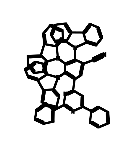 N#Cc1cc(-c2cc(-c3ccccc3)nc(-c3ccccc3)n2)c(-n2c3ccccc3c3ccccc32)c(-n2c3ccccc3c3ccccc32)c1-n1c2ccccc2c2ccccc21